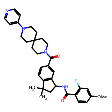 COc1ccc(C(=O)NC2CC(C)(C)c3ccc(C(=O)N4CCC5(CC4)CCN(c4ccncc4)CC5)cc32)c(F)c1